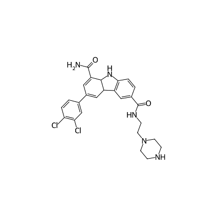 NC(=O)C1=CC(c2ccc(Cl)c(Cl)c2)=CC2c3cc(C(=O)NCCN4CCNCC4)ccc3NC12